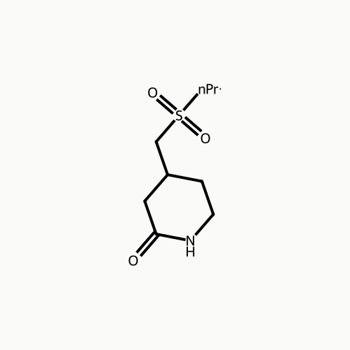 CC[CH]S(=O)(=O)CC1CCNC(=O)C1